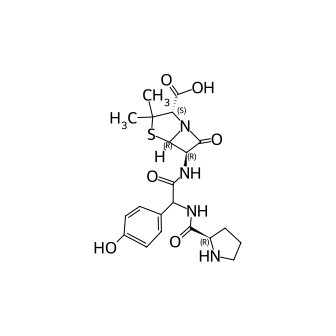 CC1(C)S[C@@H]2[C@H](NC(=O)C(NC(=O)[C@H]3CCCN3)c3ccc(O)cc3)C(=O)N2[C@H]1C(=O)O